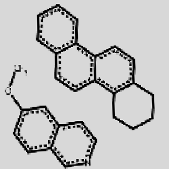 FC(F)(F)Oc1ccc2cnccc2c1.c1ccc2c(c1)ccc1c3c(ccc12)CCCC3